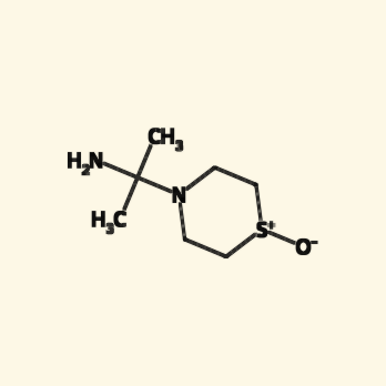 CC(C)(N)N1CC[S+]([O-])CC1